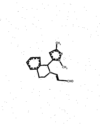 Cc1cc(C2c3ccccc3CCN2C=CC=O)n(C)n1